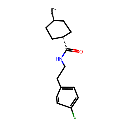 CC(C)[C@H]1CC[C@H](C(=O)NCCc2ccc(F)cc2)CC1